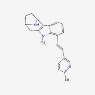 Cc1ccc(/C=C/c2cccc3c4c(n(C)c23)CC2CCC4N2)cn1